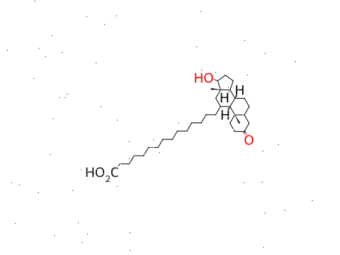 C[C@]12CCC(=O)CC1CC[C@@H]1[C@H]2C(CCCCCCCCCCCCCCC(=O)O)C[C@]2(C)C(O)CC[C@@H]12